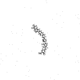 CC1(C)[C@H](NC(=O)c2ccc(N3CCN(Cc4cc5c(cc4F)C(=O)N(C4CCC(=O)NC4=O)C5)CC3)nn2)C(C)(C)[C@H]1Oc1ccc(C#N)c(Cl)c1